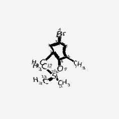 Cc1cc(Br)cc(C)c1O[Si](C)(C)C